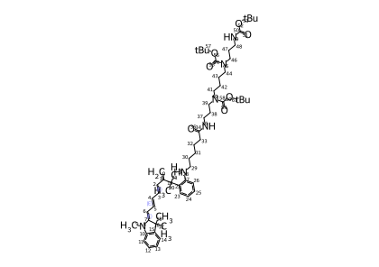 C=C(/C=C/C=C/C=C1/N(C)c2ccccc2C1(C)C)C(C)(C)c1ccccc1NCCCCCC(=O)NCCCN(CCCCN(CCCNC(=O)OC(C)(C)C)C(=O)OC(C)(C)C)C(=O)OC(C)(C)C